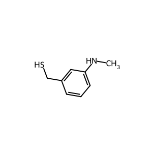 CNc1cccc(CS)c1